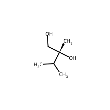 CC(C)[C@@](C)(O)CO